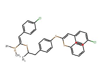 CC(Cc1ccc(S/C(=C/c2ccc(Cl)cc2)Sc2ccccc2)cc1)S/C(=C\c1ccc(Cl)cc1)[SH](C)C(C)C